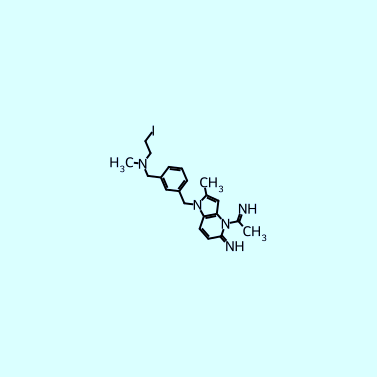 CC(=N)n1c(=N)ccc2c1cc(C)n2Cc1cccc(CN(C)CCI)c1